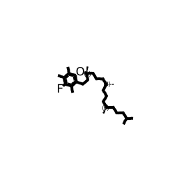 Cc1c(C)c2c(c(C)c1F)CC[C@@](C)(CCC[C@H](C)CCC[C@H](C)CCCC(C)C)O2